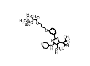 Cc1noc(C)c1-c1nc(-c2cccc(OCCCOC(=O)N(C)O[Si](C)(C)C(C)(C)C)c2)nc(NC2CCOCC2)c1CO